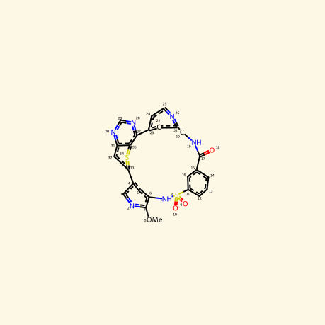 COc1ncc2cc1NS(=O)(=O)c1cccc(c1)C(=O)NCc1cc(ccn1)-c1ncnc3cc-2sc13